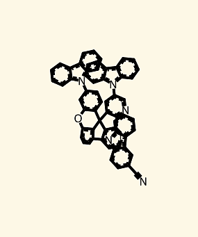 N#Cc1ccc2c(c1)c1ccccc1n2-c1cccc2c1C1(c3ccc(-n4c5ccccc5c5ccccc54)cc3O2)c2cccnc2-c2ncc(-n3c4ccccc4c4ccccc43)cc21